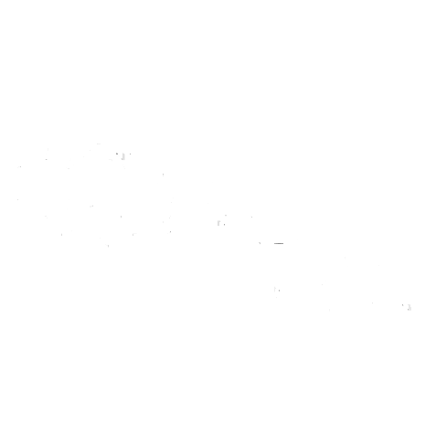 Nc1ccc(-c2ncc(CNC(=O)c3ccc4c(c3)NC(=O)c3ccccc3S4(=O)=O)s2)cc1